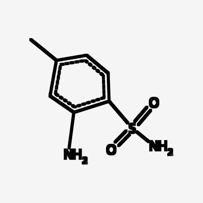 Cc1ccc(S(N)(=O)=O)c(N)c1